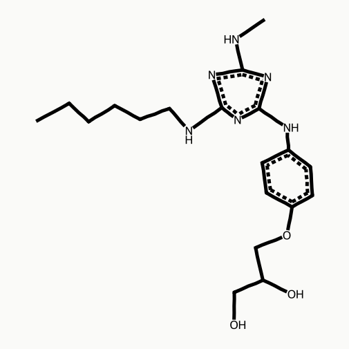 CCCCCCNc1nc(NC)nc(Nc2ccc(OCC(O)CO)cc2)n1